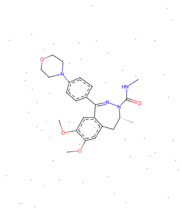 CNC(=O)N1N=C(c2ccc(N3CCOCC3)cc2)c2cc(OC)c(OC)cc2C[C@H]1C